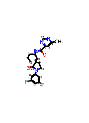 Cc1cc(C(=O)N[C@@H]2CCC[C@@]3(CCN(c4cc(F)cc(F)c4)C3=O)C2)ncn1